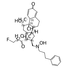 C[C@]12[C@@H](CCC3=CC(=O)C=C[C@@]31C)[C@]1(C)C[C@@H](CN(O)CCCc3ccccc3)[C@H](C(=O)SCF)[C@@]1(C)C[C@@H]2O